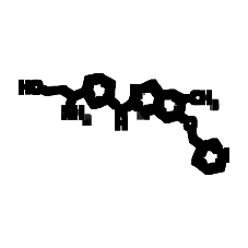 Cc1cc2cnc(Nc3cccc(C(N)CCO)c3)nc2cc1OCc1cccnc1